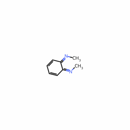 C/N=C1/C=CC=C/C1=N/C